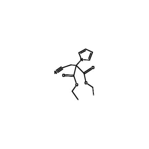 CCOC(=O)C(CC#N)(C(=O)OCC)n1cccc1